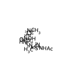 CC(=O)Nc1ncc([C@H](C)N2CCC3(CC2)NC(=O)N(Cc2ccc(C)nc2)C3O)s1